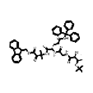 C[C@@H](OC(C)(C)C)[C@H](N)C(=O)NCC(=O)N[C@@H](CCC(=O)NC(c1ccccc1)(c1ccccc1)c1ccccc1)C(=O)NC(C)(C)C(=O)C(=O)OCC1c2ccccc2-c2ccccc21